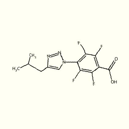 CC(C)Cc1cn(-c2c(F)c(F)c(C(=O)O)c(F)c2F)nn1